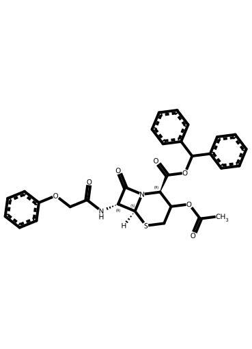 CC(=O)OC1CS[C@H]2[C@H](NC(=O)COc3ccccc3)C(=O)N2[C@H]1C(=O)OC(c1ccccc1)c1ccccc1